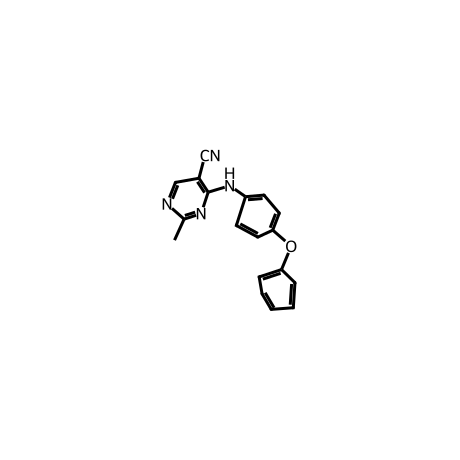 Cc1ncc(C#N)c(Nc2ccc(Oc3ccccc3)cc2)n1